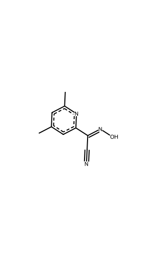 Cc1cc(C)nc(/C(C#N)=N/O)c1